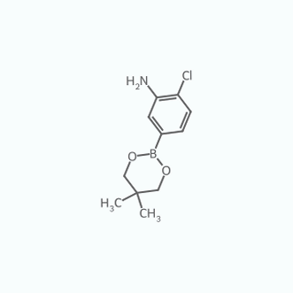 CC1(C)COB(c2ccc(Cl)c(N)c2)OC1